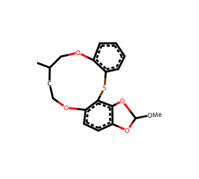 COC1Oc2ccc3c(c2O1)Sc1ccccc1OCC(C)CCO3